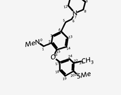 CNCc1cc(CCN2CCOCC2)ccc1Oc1ccc(SC)c(C)c1